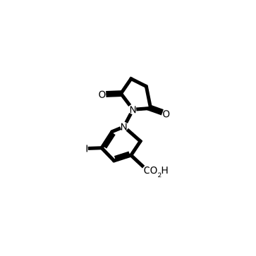 O=C(O)C1=CC(I)=CN(N2C(=O)CCC2=O)C1